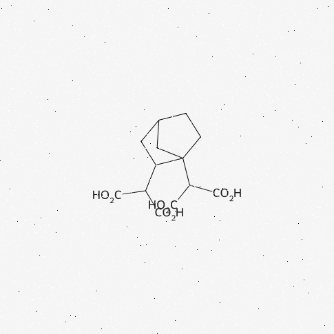 O=C(O)C(C(=O)O)C1CC2CCC1(C(C(=O)O)C(=O)O)C2